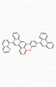 c1cnc2c(-c3cc4c5cccc6c5c(cc4c4ccccc34)-c3ccc(-c4cc5ccccc5c5ccccc45)cc3O6)cccc2c1